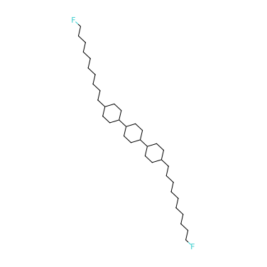 FCCCCCCCCCCC1CCC(C2CCC(C3CCC(CCCCCCCCCCF)CC3)CC2)CC1